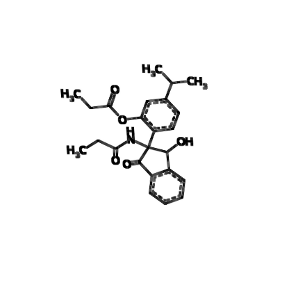 CCC(=O)NC1(c2ccc(C(C)C)cc2OC(=O)CC)C(=O)c2ccccc2C1O